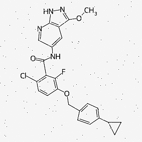 COc1n[nH]c2ncc(NC(=O)c3c(Cl)ccc(OCc4ccc(C5CC5)cc4)c3F)cc12